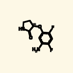 Nc1cc(O[C@@H]2CCNC2=O)c(F)cc1F